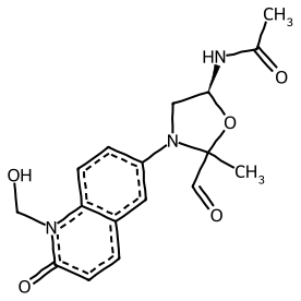 CC(=O)N[C@@H]1CN(c2ccc3c(ccc(=O)n3CO)c2)C(C)(C=O)O1